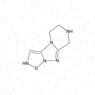 C1=C2N(N=C3CNCCN23)ON1